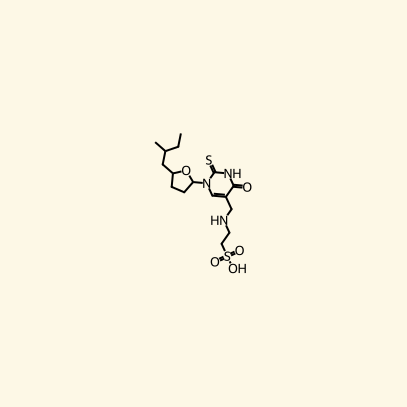 CCC(C)CC1CCC(n2cc(CNCCS(=O)(=O)O)c(=O)[nH]c2=S)O1